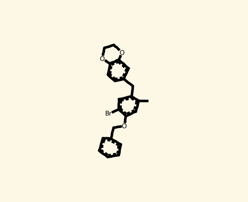 Cc1cc(OCc2ccccc2)c(Br)cc1Cc1ccc2c(c1)OCCO2